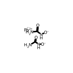 NC(=O)N[O-].NC(=O)N[O-].[Pb+2]